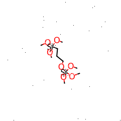 CO[Si](CCCO[Si](OC)(OC)OC)(OC)OC